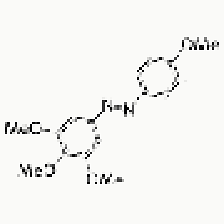 COc1[c]cc(N=Nc2cc(OC)c(OC)c(OC)c2)cc1